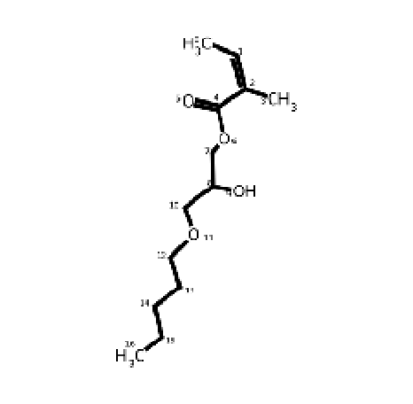 CC=C(C)C(=O)OCC(O)COCCCCC